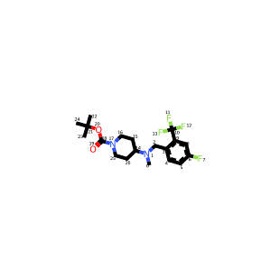 CN(Cc1ccc(F)cc1C(F)(F)F)C1CCN(C(=O)OC(C)(C)C)CC1